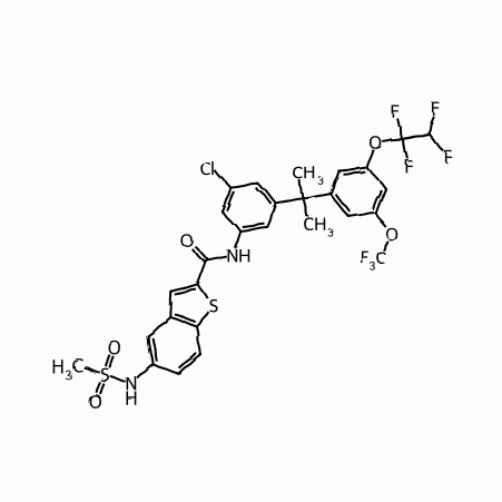 CC(C)(c1cc(Cl)cc(NC(=O)c2cc3cc(NS(C)(=O)=O)ccc3s2)c1)c1cc(OC(F)(F)F)cc(OC(F)(F)C(F)F)c1